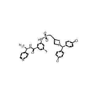 CC(NC(=O)c1cc(F)cc(NS(=O)(=O)CC2CN(C(c3ccc(Cl)cc3)c3ccc(Cl)cc3)C2)c1)c1ccncc1